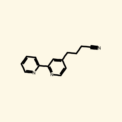 N#CCCCc1ccnc(-c2ccccn2)c1